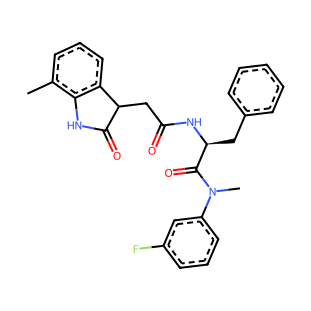 Cc1cccc2c1NC(=O)C2CC(=O)N[C@@H](Cc1ccccc1)C(=O)N(C)c1cccc(F)c1